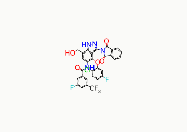 O=C(Nc1cc(CO)c2[nH]nc(N3C(=O)c4ccccc4C3=O)c2c1Oc1cc(F)ccc1Cl)c1cc(F)cc(C(F)(F)F)c1